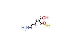 NCCCCC(CO)COS